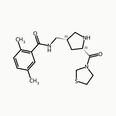 Cc1ccc(C)c(C(=O)NC[C@@H]2CN[C@H](C(=O)N3CCSC3)C2)c1